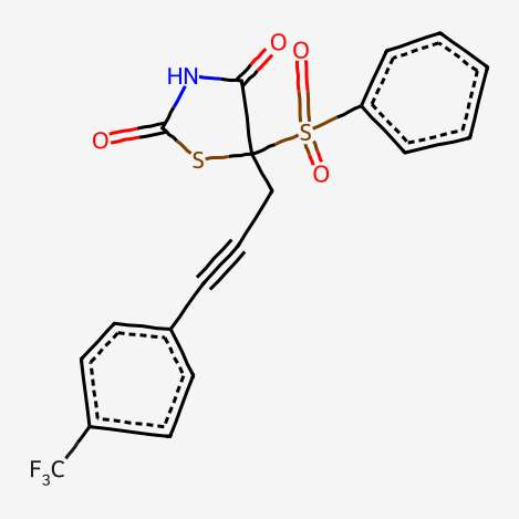 O=C1NC(=O)C(CC#Cc2ccc(C(F)(F)F)cc2)(S(=O)(=O)c2ccccc2)S1